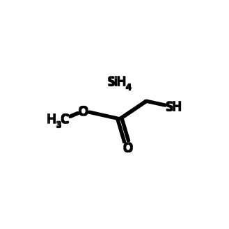 COC(=O)CS.[SiH4]